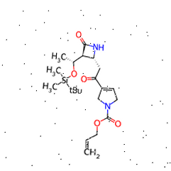 C=CCOC(=O)N1CC=C(C(=O)C[C@H]2NC(=O)[C@@H]2[C@@H](C)O[Si](C)(C)C(C)(C)C)C1